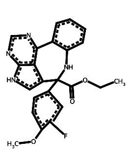 CCOC(=O)C1(c2ccc(OC)c(F)c2)Nc2ccccc2-c2ncnc3[nH]cc1c23